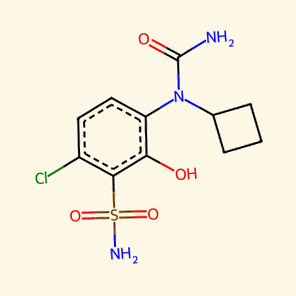 NC(=O)N(c1ccc(Cl)c(S(N)(=O)=O)c1O)C1CCC1